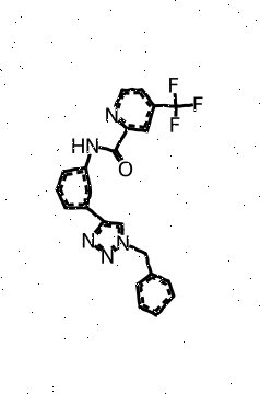 O=C(Nc1cccc(-c2cn(Cc3ccccc3)nn2)c1)c1cc(C(F)(F)F)ccn1